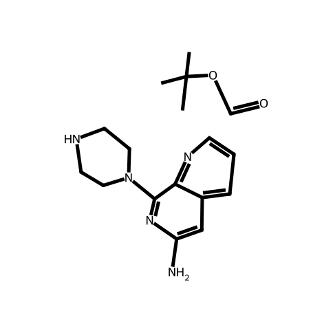 CC(C)(C)OC=O.Nc1cc2cccnc2c(N2CCNCC2)n1